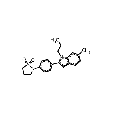 CCCn1c(-c2ccc(N3CCCS3(=O)=O)cc2)cc2ccc(C)cc21